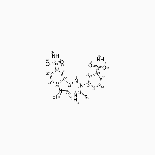 CCN1C(=O)/C(=N\N(C(N)=S)c2cccc(S(N)(=O)=O)c2)c2cc(S(N)(=O)=O)ccc21